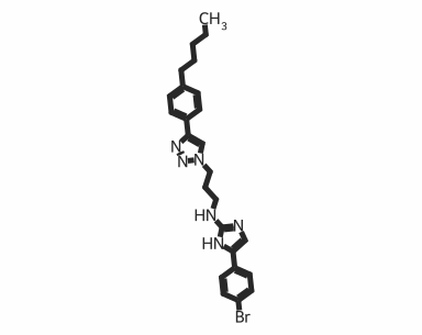 CCCCCc1ccc(-c2cn(CCCNc3ncc(-c4ccc(Br)cc4)[nH]3)nn2)cc1